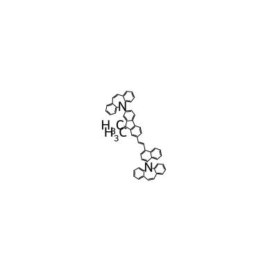 CC1(C)c2cc(/C=C/c3ccc(N4c5ccccc5C=Cc5ccccc54)c4ccccc34)ccc2-c2ccc(N3c4ccccc4C=Cc4ccccc43)cc21